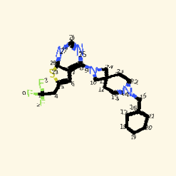 FC(F)(F)Cc1cc2c(N3CC4(CCN(CC5CCCCC5)CC4)C3)ncnc2s1